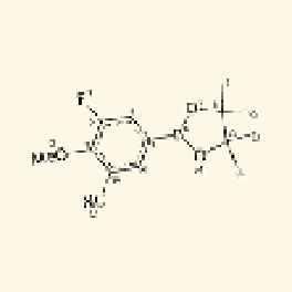 COc1c(F)cc(B2OC(C)(C)C(C)(C)O2)cc1C#N